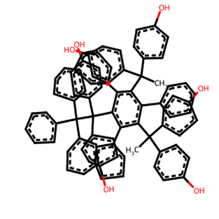 CC(c1ccc(O)cc1)(c1ccc(O)cc1)c1c(-c2ccccc2)c(C(C)(c2ccc(O)cc2)c2ccc(O)cc2)c(-c2ccccc2)c(C(c2ccc(O)cc2)(c2ccc(O)cc2)C(c2ccccc2)(c2ccccc2)c2ccccc2)c1-c1ccccc1